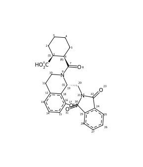 O=C(O)[C@H]1CCCC[C@H]1C(=O)N1CCc2cccc(O)c2[C@H]1CN1C(=O)c2ccccc2C1=O